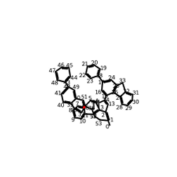 C\C1=C(c2ccc3ccccc3c2)/C=C(c2cc(-c3ccccc3)cc3c2-c2ccccc2C3)\N=C(\c2ccc3ccc(-c4ccccc4)cc3c2)CC1